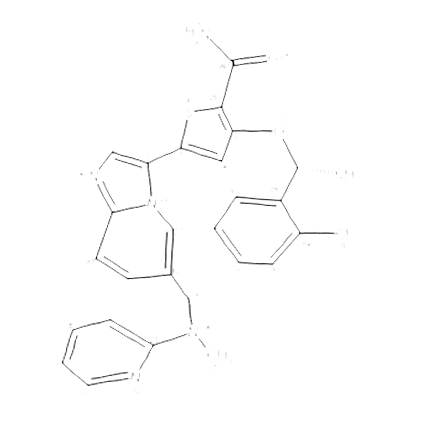 C[C@@H](Oc1cc(-c2cnc3ccc(CN(C)c4ccccn4)cn23)sc1C(N)=O)c1ccccc1Cl